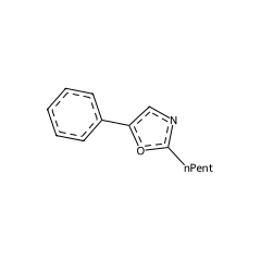 [CH2]CCCCc1ncc(-c2ccccc2)o1